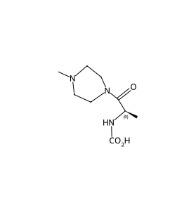 C[C@@H](NC(=O)O)C(=O)N1CCN(C)CC1